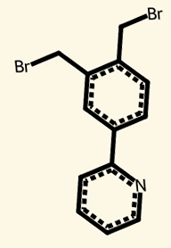 BrCc1ccc(-c2ccccn2)cc1CBr